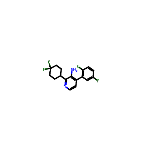 Nc1c(-c2cc(F)ccc2F)ccnc1C1CCC(F)(F)CC1